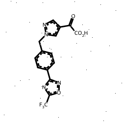 O=C(O)C(=O)c1cnn(Cc2ccc(-c3noc(C(F)(F)F)n3)cc2)c1